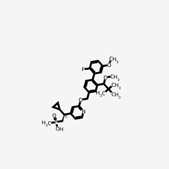 COc1ccc(F)c(-c2ccc(COc3cc([C@@H](CP(C)(=O)O)C4CC4)ccn3)cc2C(OC)C(C)(C)C)c1